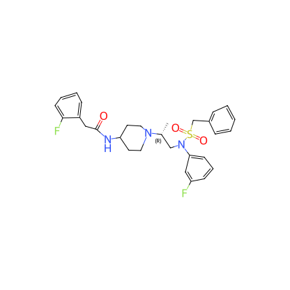 C[C@H](CN(c1cccc(F)c1)S(=O)(=O)Cc1ccccc1)N1CCC(NC(=O)Cc2ccccc2F)CC1